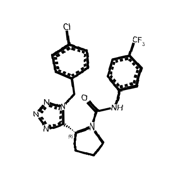 O=C(Nc1ccc(C(F)(F)F)cc1)N1CCC[C@@H]1c1nnnn1Cc1ccc(Cl)cc1